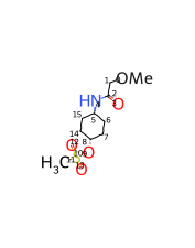 COCC(=O)N[C@H]1CC[C@H](OS(C)(=O)=O)CC1